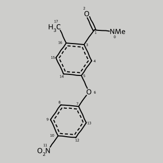 CNC(=O)c1cc(Oc2ccc([N+](=O)[O-])cc2)ccc1C